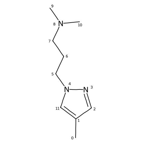 Cc1cnn(CCCN(C)C)c1